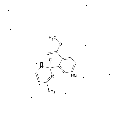 COC(=O)c1ccccc1C1(Cl)N=C(N)C=CN1.Cl